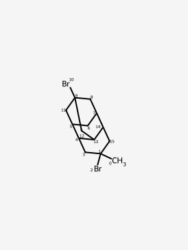 CC1(Br)CC2C3CC4CC(Br)(C3)CC2C4C1